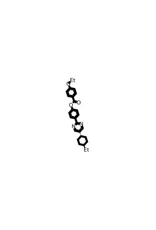 CCOc1ccc(C(=O)Oc2ccc(-c3ncc([C@H]4CC[C@H](CC)CC4)cn3)cc2)cc1